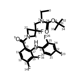 CCN(CC1(F)CN(C(=O)c2ccc(F)c(F)c2Nc2ccc(I)cc2F)C1)C(=O)OC(C)(C)C